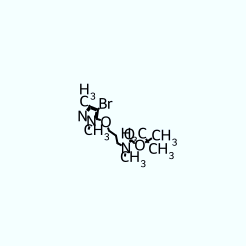 Cc1nn(C)c(OCCCN(C)C(=O)OC(C)(C)C)c1Br